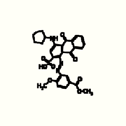 COC(=O)c1ccc(OC)c(/N=N/c2c(S(=O)(=O)O)cc(NC3CCCCC3)c3c2C(=O)c2ccccc2C3=O)c1